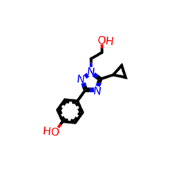 OCCn1nc(-c2ccc(O)cc2)nc1C1CC1